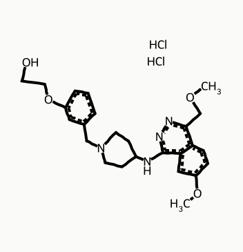 COCc1nnc(NC2CCN(Cc3cccc(OCCO)c3)CC2)c2cc(OC)ccc12.Cl.Cl